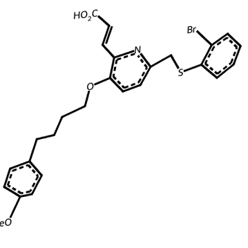 COc1ccc(CCCCOc2ccc(CSc3ccccc3Br)nc2C=CC(=O)O)cc1